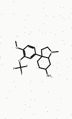 COc1ccc(C23CCC(N)CC2N(C)CC3)cc1OC(F)(F)F